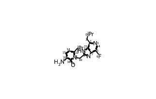 CC(C)Cc1ncc(F)c2nc(Cn3c(C(C)C)ccc(N)c3=O)[nH]c12